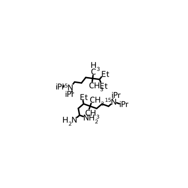 CCC(CC(N)N)C(C)(C)CCC[15N](C(C)C)C(C)C.CCC(CC)C(C)(C)CCC[15N](C(C)C)C(C)C